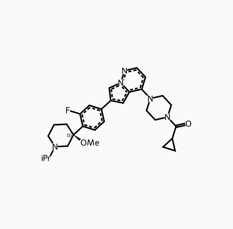 CO[C@]1(c2ccc(-c3cc4c(N5CCN(C(=O)C6CC6)CC5)ccnn4c3)cc2F)CCCN(C(C)C)C1